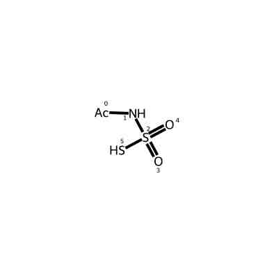 CC(=O)NS(=O)(=O)S